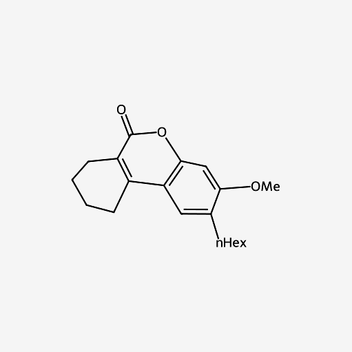 CCCCCCc1cc2c3c(c(=O)oc2cc1OC)CCCC3